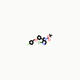 CC(C)(C)OC(=O)n1cc(-c2cccc(OCc3ccc(F)cc3)c2)c2c(Cl)nccc21